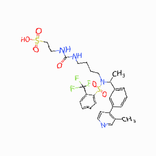 Cc1cnccc1-c1cccc(C(C)N(CCCCNC(=O)NCCS(=O)(=O)O)S(=O)(=O)c2ccccc2C(F)(F)F)c1